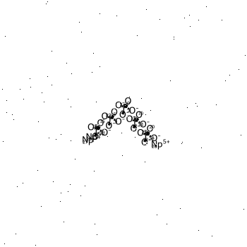 O=P([O-])([O-])[O-].O=P([O-])([O-])[O-].O=P([O-])([O-])[O-].O=P([O-])([O-])[O-].O=P([O-])([O-])[O-].[Np+5].[Np+5].[Np+5]